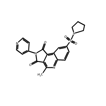 Cc1nc2ccc(S(=O)(=O)N3CCCC3)cc2c2c1C(=O)N(c1ccncc1)C2=O